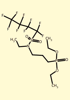 CCOP(=O)(CCCN(CC)S(=O)(=O)C(F)(F)C(F)(F)C(F)(F)C(F)(F)F)OCC